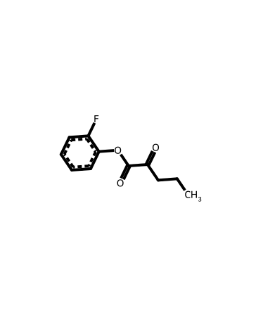 CCCC(=O)C(=O)Oc1ccccc1F